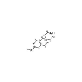 COc1ccc2c(c1)C=CC1(CCNCC1)C2